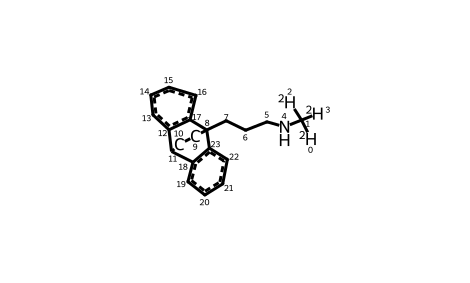 [2H]C([2H])([2H])NCCCC12CCC(c3ccccc31)c1ccccc12